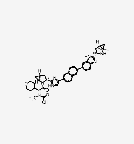 CN(C(=O)O)[C@H](C(=O)N1[C@@H]2C[C@@H]2C[C@H]1c1nc(-c2ccc3cc(-c4ccc5nc([C@@H]6C[C@H]7C[C@H]7N6)[nH]c5c4)ccc3c2)c[nH]1)C1CCOCC1